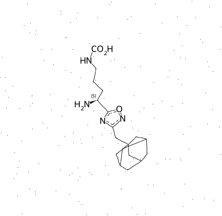 N[C@@H](CCCNC(=O)O)c1nc(CC23CC4CC(CC(C4)C2)C3)no1